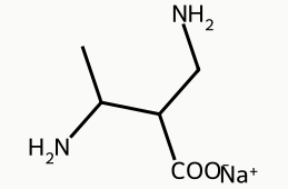 CC(N)C(CN)C(=O)[O-].[Na+]